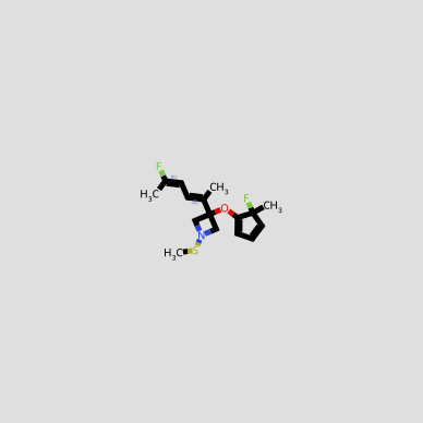 CSN1CC(OC2=CC=CC2(C)F)(/C(C)=C/C=C(\C)F)C1